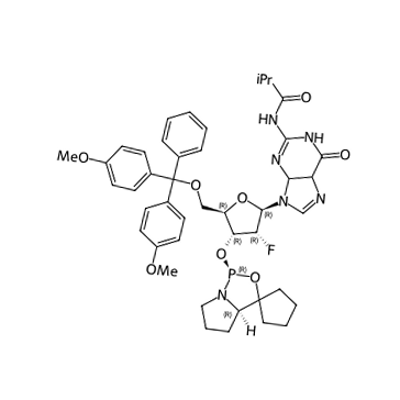 COc1ccc(C(OC[C@H]2O[C@@H](N3C=NC4C(=O)NC(NC(=O)C(C)C)=NC43)[C@H](F)[C@@H]2O[P@@]2OC3(CCCC3)[C@H]3CCCN32)(c2ccccc2)c2ccc(OC)cc2)cc1